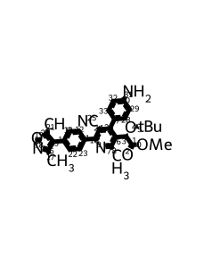 COC(=O)[C@@H](OC(C)(C)C)c1c(C)nc(-c2ccc(-c3c(C)noc3C)cc2)c(C#N)c1-c1ccc(N)cc1